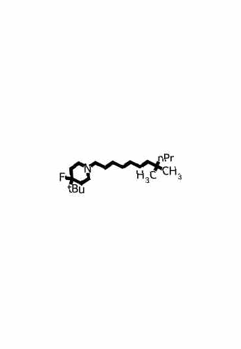 CCCC(C)(C)CCCCCCCN1CCC(F)(C(C)(C)C)CC1